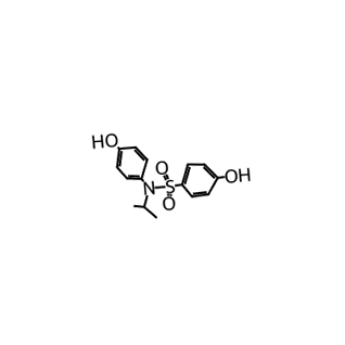 CC(C)N(c1ccc(O)cc1)S(=O)(=O)c1ccc(O)cc1